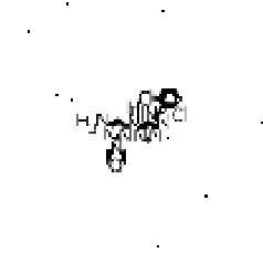 Nc1cc(Nc2ncnc3nc(-c4c(Cl)cccc4Cl)[nH]c23)nc(N2CCOCC2)n1